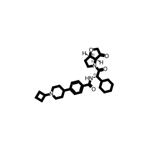 O=C(N[C@H](C(=O)N1CC[C@H]2OCC(=O)[C@H]21)C1CCCCC1)c1ccc(C2CCN(C3CCC3)CC2)cc1